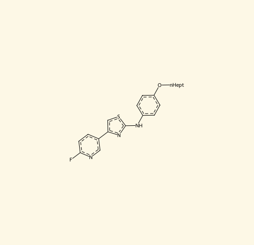 CCCCCCCOc1ccc(Nc2nc(-c3ccc(F)nc3)cs2)cc1